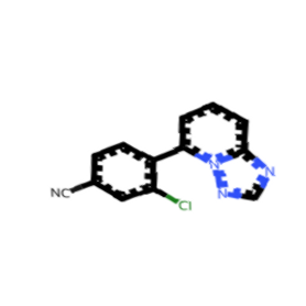 N#Cc1ccc(-c2cccc3ncnn23)c(Cl)c1